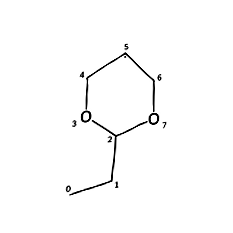 CCC1OC[CH]CO1